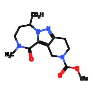 CN1CCC(C(=O)O)n2nc3c(c2C1=O)CN(C(=O)OC(C)(C)C)CC3